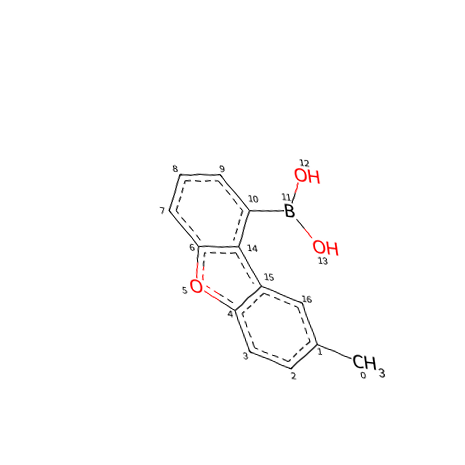 Cc1ccc2oc3cccc(B(O)O)c3c2c1